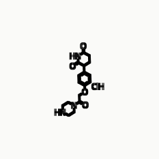 Cl.O=C1CCC(c2ccc(OCC(=O)N3CCNCC3)cc2)C(=O)N1